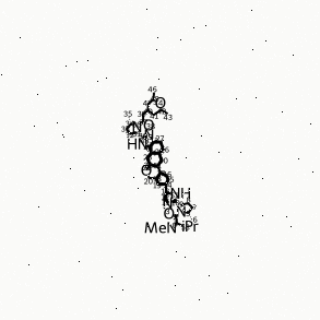 CNC(C(=O)N1[C@@H](C)CC[C@H]1c1ncc(-c2ccc3c(c2)COc2cc4c(ccc5nc([C@@H]6CC[C@H](C)N6C(=O)CC6CC(C)OC(C)C6)[nH]c54)cc2-3)[nH]1)C(C)C